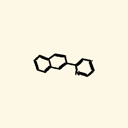 [c]1ccnc(-c2ccc3ccccc3c2)c1